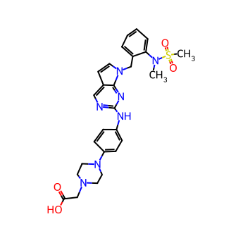 CN(c1ccccc1Cn1ccc2cnc(Nc3ccc(N4CCN(CC(=O)O)CC4)cc3)nc21)S(C)(=O)=O